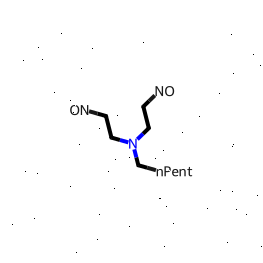 CCCCCCN(CCN=O)CCN=O